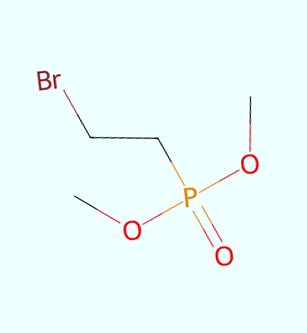 COP(=O)(CCBr)OC